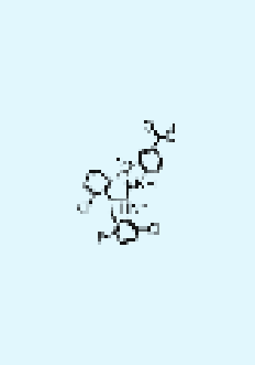 CN[C@@H](C(=O)Nc1ccc(C(=O)OC)cc1OC)[C@@H](Cc1cc(Cl)ccc1F)c1ccccc1Cl